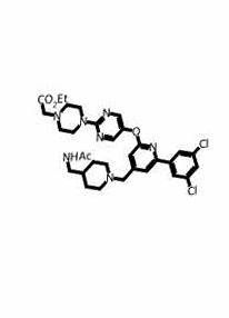 CCOC(=O)CN1CCN(c2ncc(Oc3cc(CN4CCC(CNC(C)=O)CC4)cc(-c4cc(Cl)cc(Cl)c4)n3)cn2)CC1